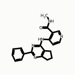 CNC(=O)c1cnccc1Nc1nc(-c2ccccc2)nc2c1CCC2